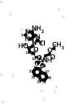 CCOC(=O)CNP(=O)(OC[C@@H]1C[C@H](O)[C@H](n2c(Cl)nc3c(N)ncnc32)O1)Oc1cccc2ccccc12